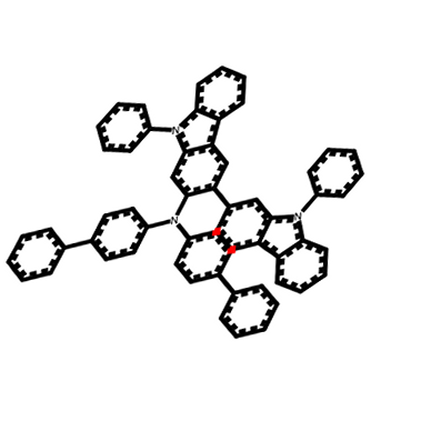 c1ccc(-c2ccc(N(c3ccc(-c4ccccc4)cc3)c3cc4c(cc3-c3ccc5c6ccccc6n(-c6ccccc6)c5c3)c3ccccc3n4-c3ccccc3)cc2)cc1